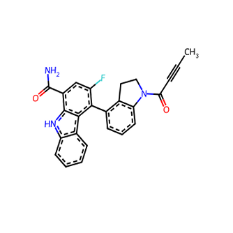 CC#CC(=O)N1CCc2c(-c3c(F)cc(C(N)=O)c4[nH]c5ccccc5c34)cccc21